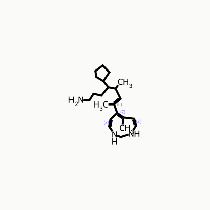 CC1=C(/C(C)=C/C(C)C(CCCN)C2CCCC2)\C=C/NCN/C=C\1